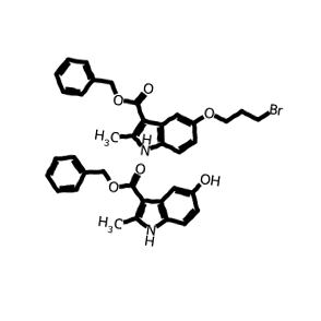 Cc1[nH]c2ccc(O)cc2c1C(=O)OCc1ccccc1.Cc1[nH]c2ccc(OCCCBr)cc2c1C(=O)OCc1ccccc1